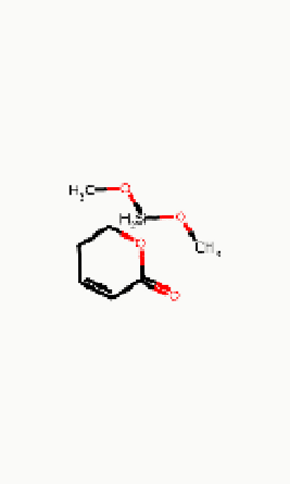 CO[SiH2]OC.O=C1C=CCCO1